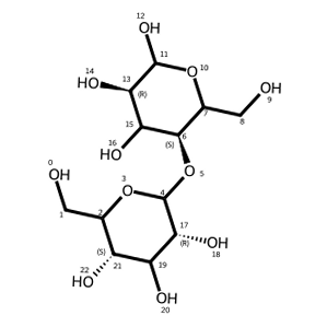 OCC1OC(O[C@@H]2C(CO)OC(O)[C@H](O)C2O)[C@H](O)C(O)[C@@H]1O